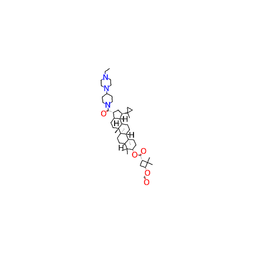 CCN1CCN(C2CCN(C(=O)[C@@H]3C[C@@H](C4(C)CC4)[C@H]4C3CC[C@]3(C)[C@@H]4CC[C@@H]4[C@@]5(C)CC[C@H](OC(=O)[C@H]6C[C@@H](OC=O)C6(C)C)C(C)(C)[C@@H]5CC[C@]43C)CC2)CC1